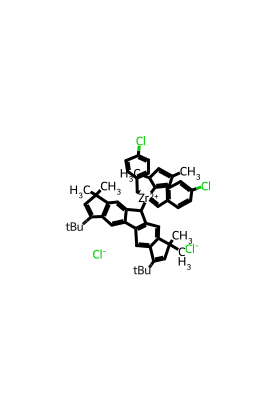 CC1=CC(C)[C]([Zr+2](=[CH]c2ccc(Cl)cc2)(=[CH]c2ccc(Cl)cc2)[CH]2c3cc4c(cc3-c3cc5c(cc32)C(C)(C)C=C5C(C)(C)C)C(C(C)(C)C)=CC4(C)C)=C1.[Cl-].[Cl-]